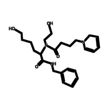 O=C(NCc1ccccc1)C(CCCCO)N(CCO)C(=O)CCCN1C=CC=CC1